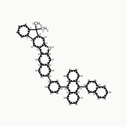 CC1(C)c2ccccc2-c2cc3c(cc21)oc1cc2cc(-c4cccc(-c5c6ccccc6c(-c6ccc7ccccc7c6)c6ccccc56)c4)ccc2cc13